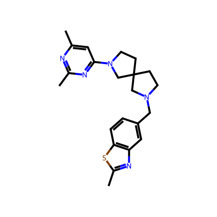 Cc1cc(N2CCC3(CCN(Cc4ccc5sc(C)nc5c4)C3)C2)nc(C)n1